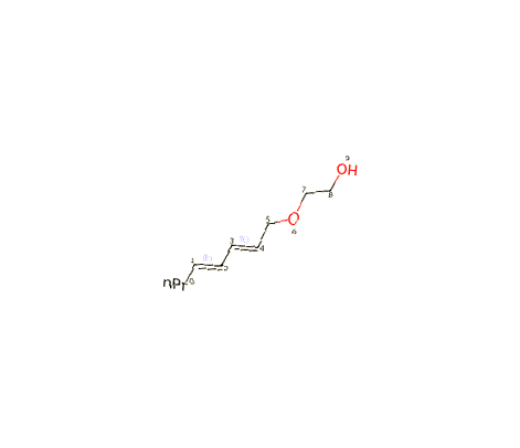 CCC/C=C/C=C/COCCO